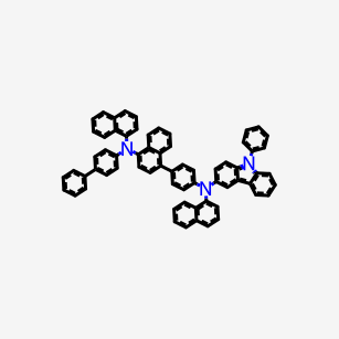 c1ccc(-c2ccc(N(c3cccc4ccccc34)c3ccc(-c4ccc(N(c5ccc6c(c5)c5ccccc5n6-c5ccccc5)c5cccc6ccccc56)cc4)c4ccccc34)cc2)cc1